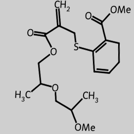 C=C(CSC1=C(C(=O)OC)CCC=C1)C(=O)OCC(C)OCC(C)OC